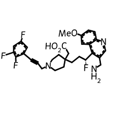 COc1ccc2ncc(CN)c([C@H](F)CCC3(CC(=O)O)CCN(CC#Cc4cc(F)cc(F)c4F)CC3)c2c1